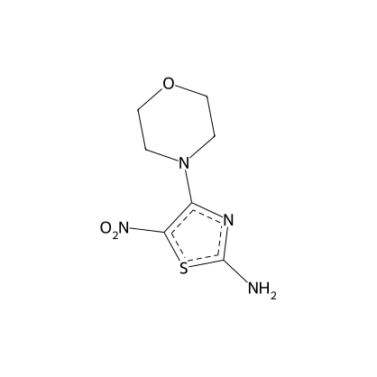 Nc1nc(N2CCOCC2)c([N+](=O)[O-])s1